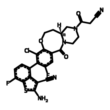 N#CCC(=O)N1CCN2C(=O)c3cc(F)c(-c4ccc(F)c5sc(N)c(C#N)c45)c(Cl)c3OCC[C@H]2C1